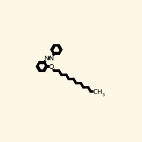 CCCCCCCCCCCCOc1ccccc1N=Nc1ccccc1